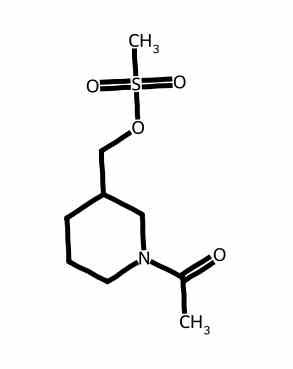 CC(=O)N1CCCC(COS(C)(=O)=O)C1